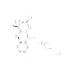 CC(=O)CCCNCCn1c2nc(=O)[nH]c(=O)c-2nc2cc(C)c(C)cc21